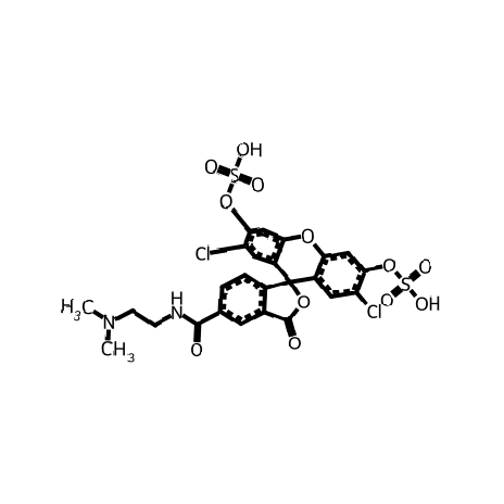 CN(C)CCNC(=O)c1ccc2c(c1)C(=O)OC21c2cc(Cl)c(OS(=O)(=O)O)cc2Oc2cc(OS(=O)(=O)O)c(Cl)cc21